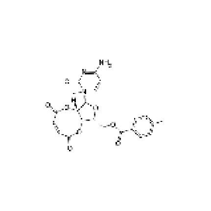 Cc1ccc(C(=O)OC[C@H]2O[C@@H]([N+]3(C)C=CC(N)=NC3=O)[C@H]3OC(=O)/C=C\C(=O)OC23)cc1